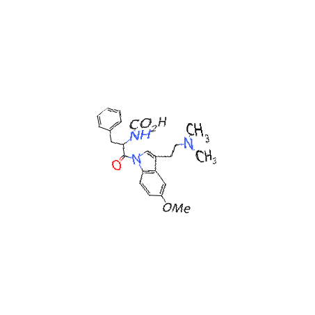 COc1ccc2c(c1)c(CCN(C)C)cn2C(=O)C(Cc1ccccc1)NC(=O)O